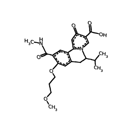 CNC(=O)c1cc2c(cc1OCCCOC)CC(C(C)C)n1cc(C(=O)O)c(=O)cc1-2